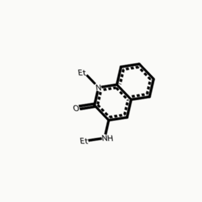 CCNc1cc2ccccc2n(CC)c1=O